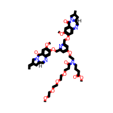 C/C=C1\C[C@H]2C=Nc3cc(OCc4cc(OCCN(CCCC(=O)OC)C(=O)CCOCCOCCOCCOC)cc(COc5cc6c(cc5OC)C(=O)N5CC(C)C[C@H]5C=N6)n4)c(OC)cc3C(=O)N2C1